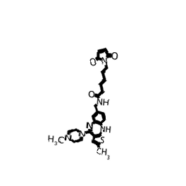 Cc1cc2c(s1)Nc1ccc(CNC(=O)CCCCCN3C(=O)C=CC3=O)cc1N=C2N1CCN(C)CC1